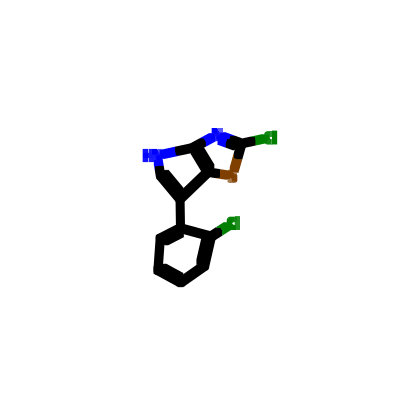 Clc1nc2[nH]cc(-c3ccccc3Cl)c2s1